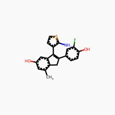 Cc1cc(O)cc2c1CC(c1ccc(O)c(F)c1)=C2c1ccsc1N